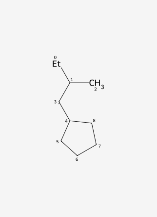 CCC(C)[CH]C1CCCC1